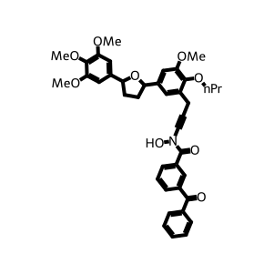 CCCOc1c(CC#CN(O)C(=O)c2cccc(C(=O)c3ccccc3)c2)cc(C2CCC(c3cc(OC)c(OC)c(OC)c3)O2)cc1OC